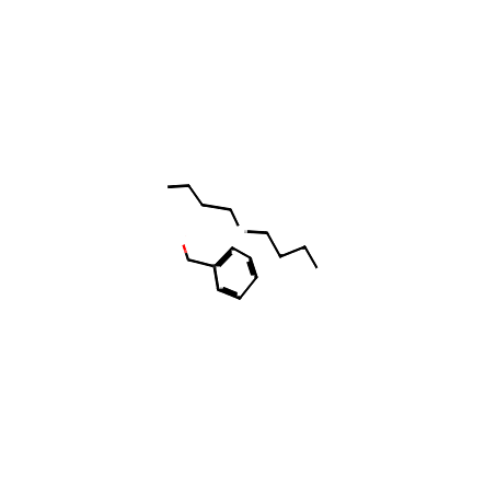 CCC[CH2][Sn][CH2]CCC.OCc1ccccc1